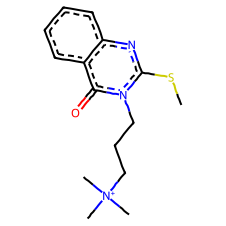 CSc1nc2ccccc2c(=O)n1CCC[N+](C)(C)C